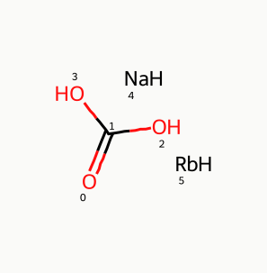 O=C(O)O.[NaH].[RbH]